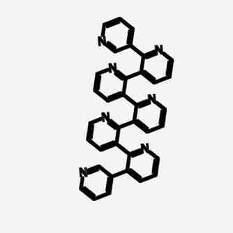 c1cncc(-c2cccnc2-c2cccnc2-c2cccnc2-c2cccnc2-c2cccnc2-c2cccnc2)c1